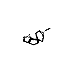 CC(C)N1CCC2(CCc3cnoc32)CC1